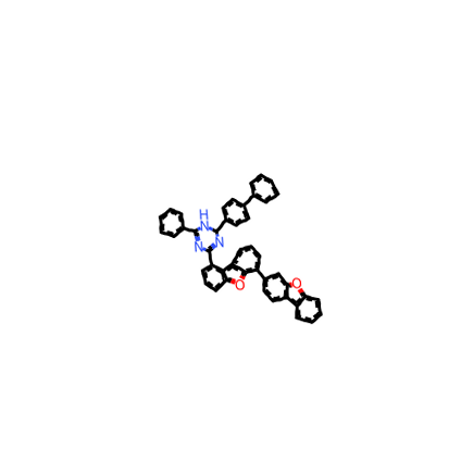 c1ccc(C2=NC(c3cccc4oc5c(-c6ccc7c(c6)oc6ccccc67)cccc5c34)=NC(c3ccc(-c4ccccc4)cc3)N2)cc1